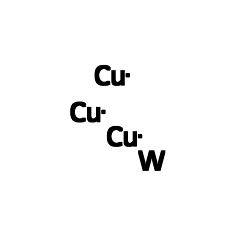 [Cu].[Cu].[Cu].[W]